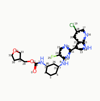 O=C(N[C@@H]1CCC[C@H](Nc2nc(-c3c[nH]c4ncc(Cl)cc34)ncc2F)C1)OCC1CCOC1